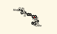 COC(=O)N[C@H](C(=O)N1CCC[C@H]1c1ncc(-c2ccc3cc(-c4ccc5c(ccc6nc([C@@H]7CCCN7C(=O)[C@H](NC(=O)OC)c7ccccc7)[nH]c65)c4)ccc3c2)[nH]1)C(C)C